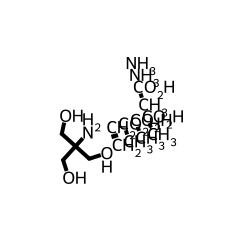 C=C.CC(=O)O.CC(=O)O.CC(=O)O.CC(=O)O.N.N.NC(CO)(CO)CO